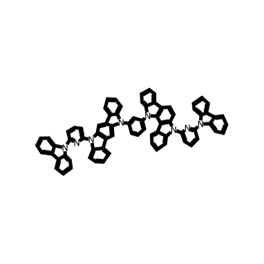 c1cc(-n2c3ccccc3c3cc4c(cc32)c2ccccc2n4-c2cccc(-n3c4ccccc4c4ccccc43)n2)cc(-n2c3ccccc3c3ccc4c(c5ccccc5n4-c4cccc(-n5c6ccccc6c6ccccc65)n4)c32)c1